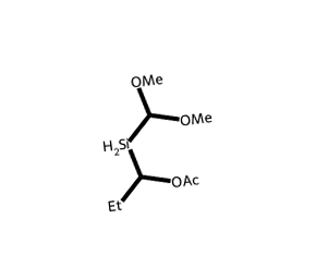 CCC(OC(C)=O)[SiH2]C(OC)OC